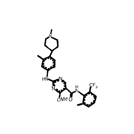 COc1nc(Nc2ccc(C3CCN(C)CC3)c(C)c2)ncc1C(=O)Nc1c(C)cccc1C(F)(F)F